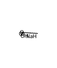 CCCCCCCCC=CCCCCCCCC(=O)OC(=O)C(C)O.[NaH]